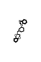 c1ccc2c(c1)OC[C@H](CN1CCC[C@H](n3cnc4ccccc43)C1)O2